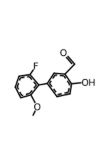 COc1cccc(F)c1-c1ccc(O)c(C=O)c1